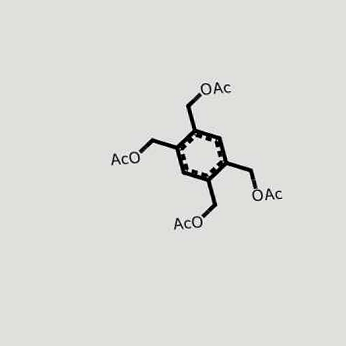 CC(=O)OCc1cc(COC(C)=O)c(COC(C)=O)cc1COC(C)=O